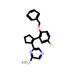 CCOC(=O)c1cncc(C2=C(c3cc(Cl)ccc3OCc3ccccc3)CCC2)n1